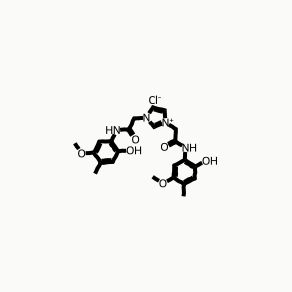 COc1cc(NC(=O)Cn2cc[n+](CC(=O)Nc3cc(OC)c(C)cc3O)c2)c(O)cc1C.[Cl-]